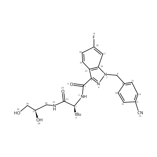 CC(C)(C)[C@H](NC(=O)c1nn(Cc2ccc(C#N)cc2)c2cc(F)ccc12)C(=O)NC[C@@H](O)CO